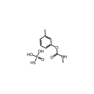 CNC(=O)Oc1cccc(C)c1.O=P(O)(O)S